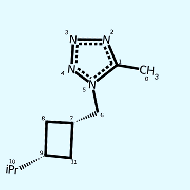 Cc1nnnn1C[C@H]1C[C@@H](C(C)C)C1